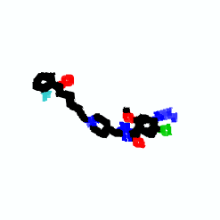 COc1cc(N)c(Cl)cc1C(=O)NCC1CCN(CCCCCC(=O)c2ccccc2F)CC1